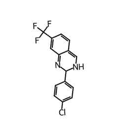 FC(F)(F)c1ccc2c(c1)=NC(c1ccc(Cl)cc1)NC=2